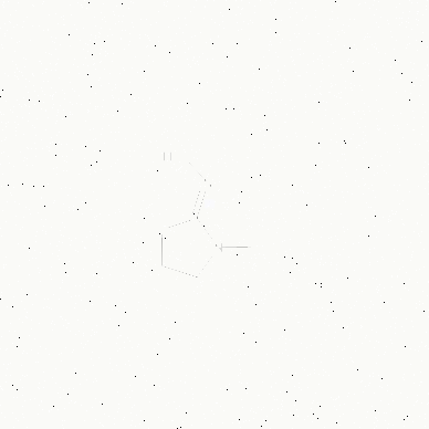 C/N=C1\SCCN1O